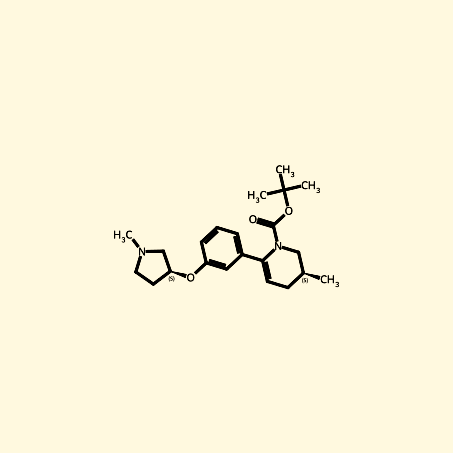 C[C@H]1CC=C(c2cccc(O[C@H]3CCN(C)C3)c2)N(C(=O)OC(C)(C)C)C1